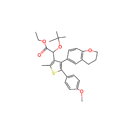 CCOC(=O)C(OC(C)(C)C)c1c(C)sc(-c2ccc(OC)cc2)c1-c1ccc2c(c1)CCCO2